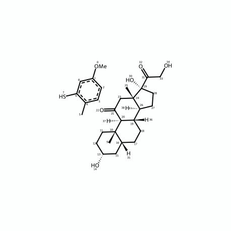 COc1ccc(C)c(S)c1.C[C@]12CC[C@@H](O)C[C@H]1CC[C@@H]1[C@@H]2C(=O)C[C@@]2(C)[C@H]1CC[C@]2(O)C(=O)CO